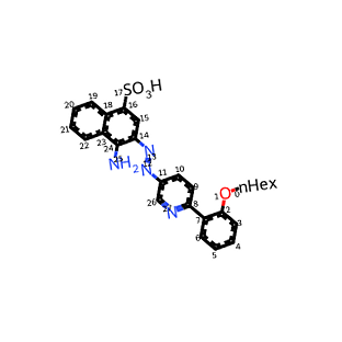 CCCCCCOc1ccccc1-c1ccc(N=Nc2cc(S(=O)(=O)O)c3ccccc3c2N)cn1